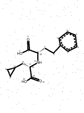 O=C(O)[C@H](CCc1ccccc1)N[C@@H](CC1CC1)C(=O)O